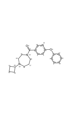 O=C(c1ccc(Oc2ccccc2)nc1)N1CCCN(C2CCC2)CC1